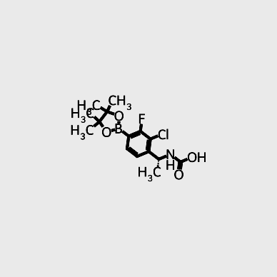 C[C@@H](NC(=O)O)c1ccc(B2OC(C)(C)C(C)(C)O2)c(F)c1Cl